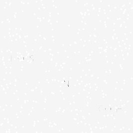 Cc1ccc(C(=O)O)nc1S(=O)(=O)O